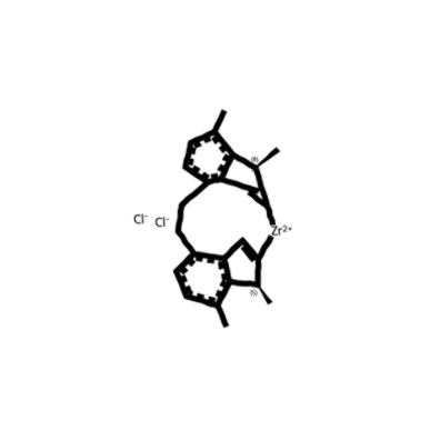 Cc1ccc2c3c1[C@H](C)[C](=C3)[Zr+2][C]1=Cc3c(ccc(C)c3[C@H]1C)CC2.[Cl-].[Cl-]